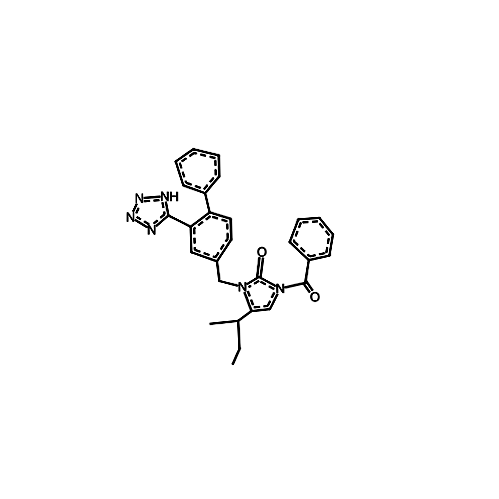 CCC(C)c1cn(C(=O)c2ccccc2)c(=O)n1Cc1ccc(-c2ccccc2)c(-c2nnn[nH]2)c1